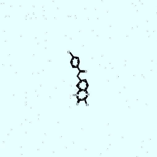 CCc1nc2ccc(CC(=O)c3ccc(Cl)cc3)cc2[nH]c1=O